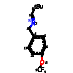 CC(C)(C)/C=N/Cc1ccc(OC(F)(F)F)cc1